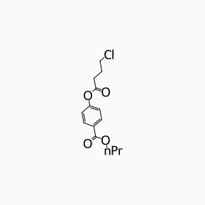 CCCOC(=O)c1ccc(OC(=O)CCCCl)cc1